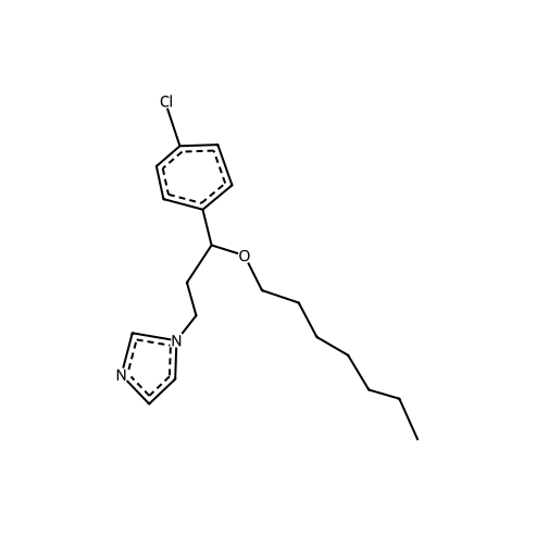 CCCCCCCOC(CCn1ccnc1)c1ccc(Cl)cc1